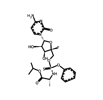 CC(C)OC(=O)[C@@H](C)N[P@](=S)(OC[C@@]1(F)O[C@@H](n2ccc(N)nc2=O)[C@H](O)[C@@H]1O)Oc1ccccc1